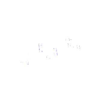 CN(C)CCNCC(=O)Nc1ccc(N)cc1